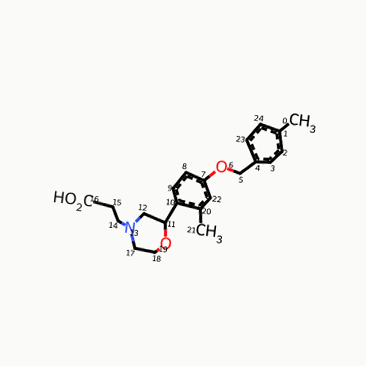 Cc1ccc(COc2ccc(C3CN(CCC(=O)O)CCO3)c(C)c2)cc1